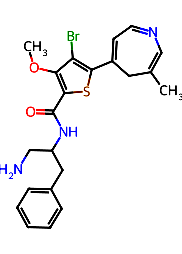 COc1c(C(=O)NC(CN)Cc2ccccc2)sc(C2=CC=NC=C(C)C2)c1Br